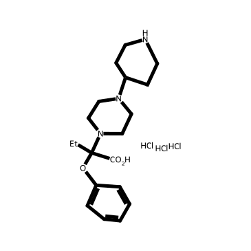 CCC(Oc1ccccc1)(C(=O)O)N1CCN(C2CCNCC2)CC1.Cl.Cl.Cl